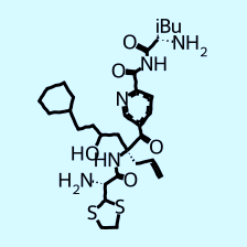 C=CC[C@@](CC(O)CCC1CCCCC1)(NC(=O)[C@@H](N)C1SCCS1)C(=O)c1ccc(C(=O)NC(=O)[C@@H](N)[C@@H](C)CC)nc1